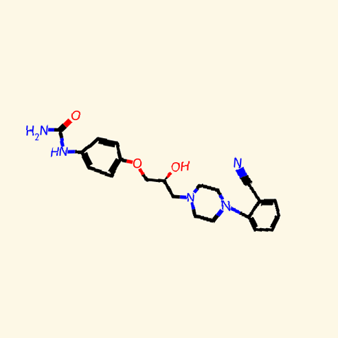 N#Cc1ccccc1N1CCN(C[C@H](O)COc2ccc(NC(N)=O)cc2)CC1